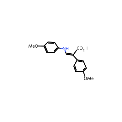 COc1ccc(N/C=C(\C(=O)O)c2ccc(OC)cc2)cc1